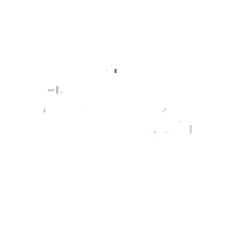 O=C(O)Cc1cccc(C2CC23C(=O)Nc2cc(Cl)c(-c4ccc(C5(CO)CC5)cc4)cc23)c1